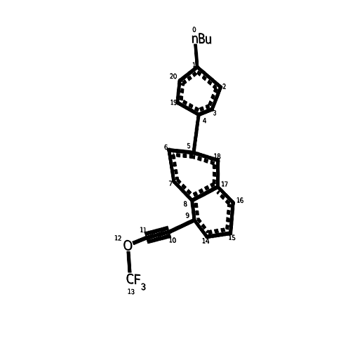 CCCCc1ccc(-c2ccc3c(C#COC(F)(F)F)cccc3c2)cc1